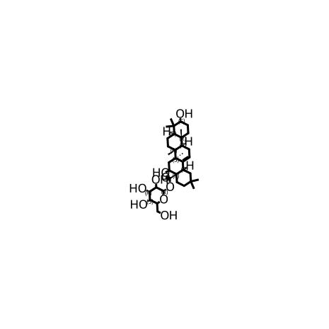 CC1(C)CC[C@]2(C(=O)O[C@H]3OC(CO)[C@@H](O)[C@@H](O)C3O)C(O)C[C@]3(C)C(=CC[C@@H]4[C@@]5(C)CC[C@H](O)C(C)(C)[C@@H]5CC[C@]43C)[C@@H]2C1